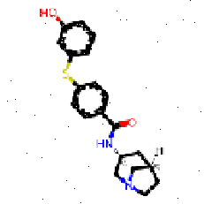 O=C(N[C@@H]1C[C@H]2CCN(C2)C1)c1ccc(Sc2cccc(O)c2)cc1